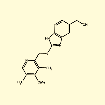 COc1c(C)cnc(CSc2nc3cc(CO)ccc3[nH]2)c1C